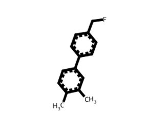 Cc1ccc(-c2ccc(CF)cc2)cc1C